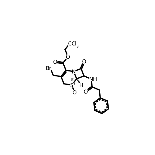 O=C(Cc1ccccc1)NC1C(=O)N2C(C(=O)OCC(Cl)(Cl)Cl)=C(CBr)C[S+]([O-])[C@@H]12